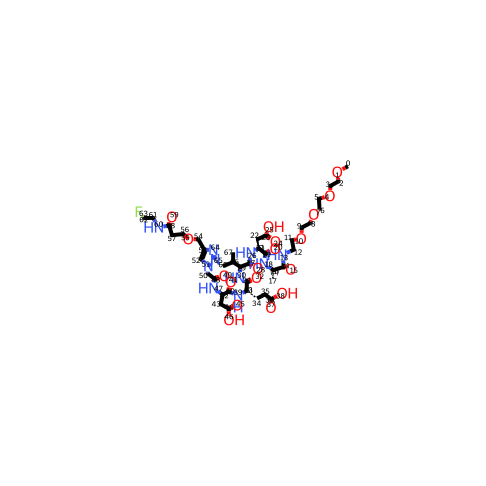 COCCOCCOCCOCCNC(=O)[C@H](C)NC(=O)[C@H](CC(=O)O)NC(=O)C(NC(=O)[C@H](CCC(=O)O)NC(=O)C(CC(=O)O)NC(=O)Cn1cc(COCCC(=O)NCCF)nn1)C(C)C